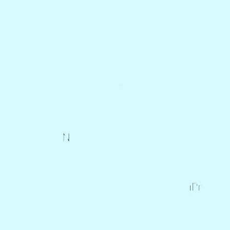 CC1=CCN=C(c2ccc(C(C)C)cc2)c2ccccc21